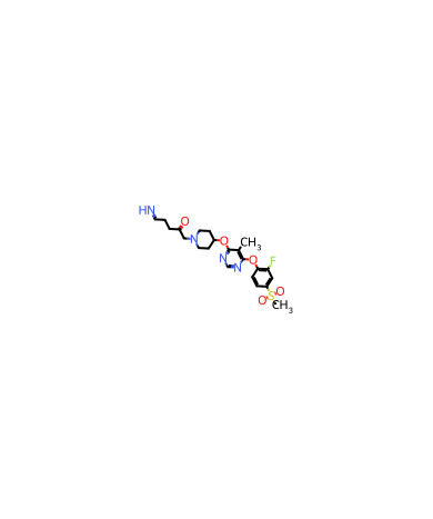 Cc1c(Oc2ccc(S(C)(=O)=O)cc2F)ncnc1OC1CCN(CC(=O)CCC=N)CC1